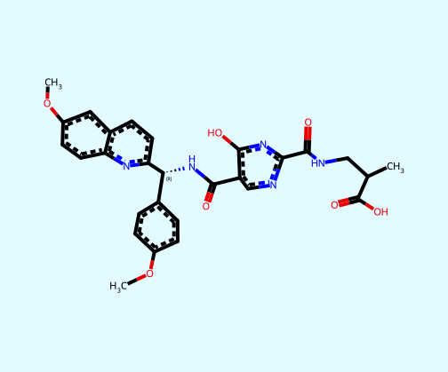 COc1ccc([C@@H](NC(=O)c2cnc(C(=O)NCC(C)C(=O)O)nc2O)c2ccc3cc(OC)ccc3n2)cc1